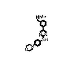 CNCc1cccc(-c2cnc(Nc3ccc(N4CCOCC4)cc3)nc2)c1